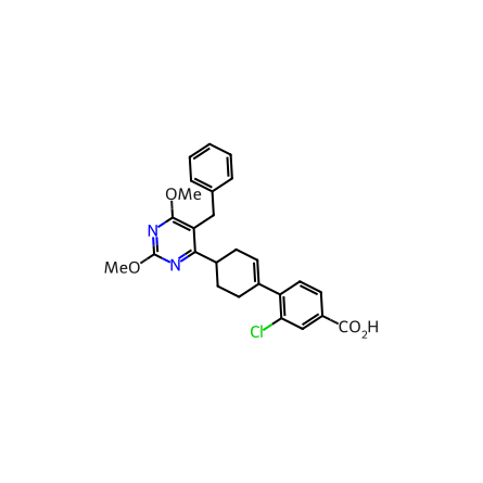 COc1nc(OC)c(Cc2ccccc2)c(C2CC=C(c3ccc(C(=O)O)cc3Cl)CC2)n1